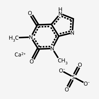 Cn1c(=O)c2[nH]cnc2n(C)c1=O.O=S(=O)([O-])[O-].[Ca+2]